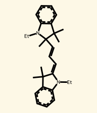 CCN1/C(=C/C=C/C2(C)N(CC)c3ccccc3C2(C)C)C(C)(C)c2ccccc21